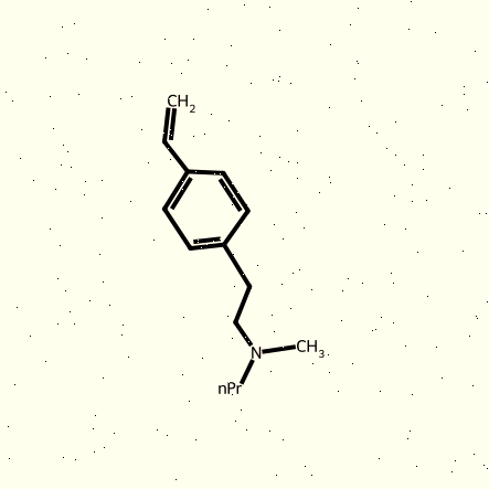 C=Cc1ccc(CCN(C)CCC)cc1